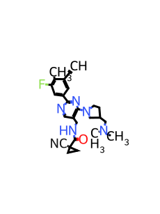 C#Cc1cc(-c2ncc(CNC(=O)C3(C#N)CC3)c(N3CCC(CN(C)C)C3)n2)cc(F)c1C